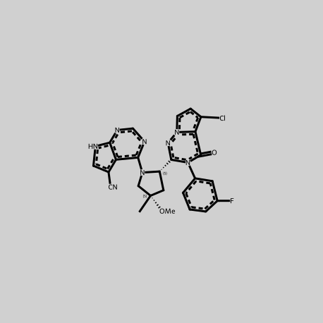 CO[C@@]1(C)C[C@@H](c2nn3ccc(Cl)c3c(=O)n2-c2cccc(F)c2)N(c2ncnc3[nH]cc(C#N)c23)C1